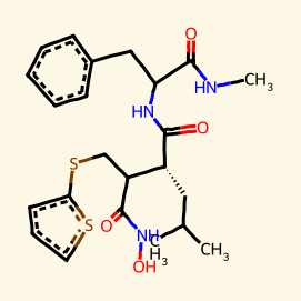 CNC(=O)C(Cc1ccccc1)NC(=O)[C@H](CC(C)C)C(CSc1cccs1)C(=O)NO